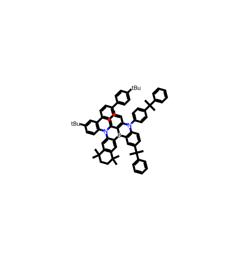 Cc1cc2c3c(c1)N(c1ccc(C(C)(C)C)cc1-c1ccc(-c4ccc(C(C)(C)C)cc4)cc1)c1cc4c(cc1B3c1cc(C(C)(C)c3ccccc3)ccc1N2c1ccc(C(C)(C)c2ccccc2)cc1)C(C)(C)CCC4(C)C